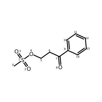 CS(=O)(=O)OCCC(=O)c1ccccc1